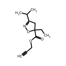 C#CCOC(=O)C1(CC)CC(C(C)C)=NO1